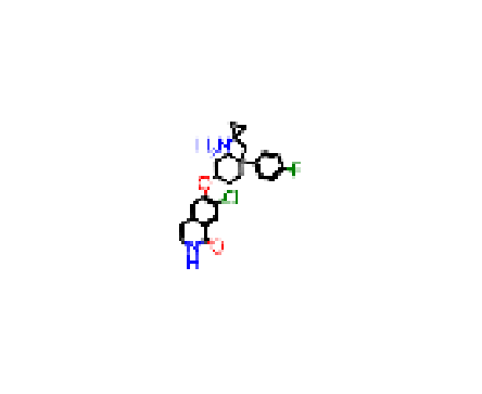 NC1(C[C@]2(c3ccc(F)cc3)CC[C@@H](Oc3cc4cc[nH]c(=O)c4cc3Cl)CC2)CC1